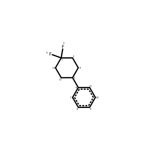 FC1(F)CCC(c2[c]cccc2)CC1